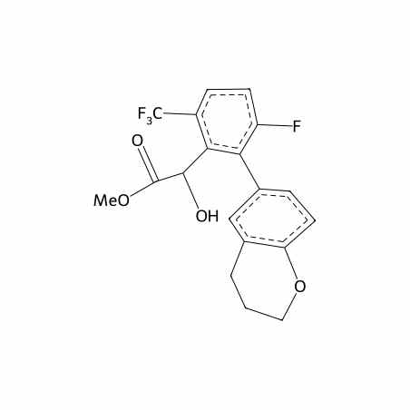 COC(=O)C(O)c1c(C(F)(F)F)ccc(F)c1-c1ccc2c(c1)CCCO2